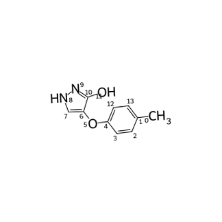 Cc1ccc(Oc2c[nH]nc2O)cc1